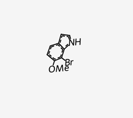 COc1ccc2cc[nH]c2c1Br